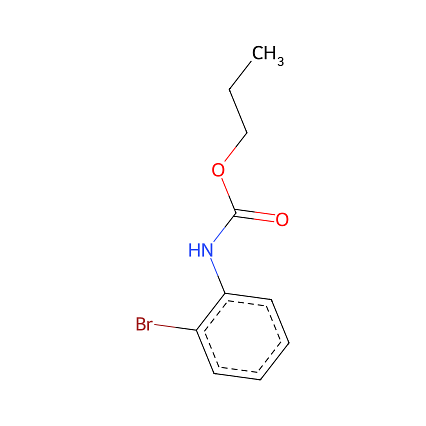 CCCOC(=O)Nc1ccccc1Br